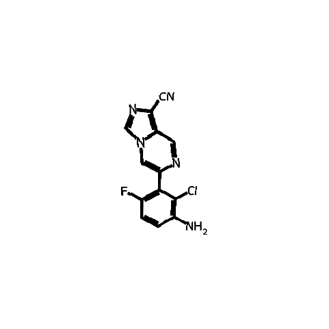 N#Cc1ncn2cc(-c3c(F)ccc(N)c3Cl)ncc12